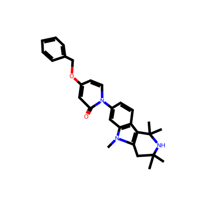 Cn1c2c(c3ccc(-n4ccc(OCc5ccccc5)cc4=O)cc31)C(C)(C)NC(C)(C)C2